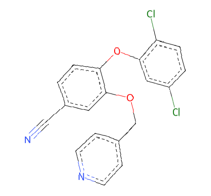 N#Cc1ccc(Oc2cc(Cl)ccc2Cl)c(OCc2ccncc2)c1